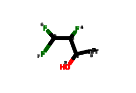 CCCC(O)C(F)[C](F)F